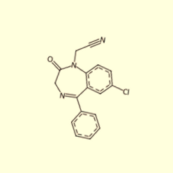 N#CCN1C(=O)CN=C(c2ccccc2)c2cc(Cl)ccc21